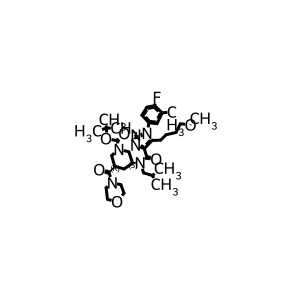 COCCCCc1c(C(=O)N(CC(C)C)[C@H]2C[C@@H](C(=O)N3CCOCC3)CN(C(=O)OC(C)(C)C)C2)nnn1-c1ccc(F)c(C)c1